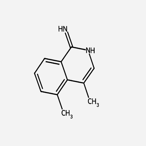 Cc1cccc2c(=N)[nH]cc(C)c12